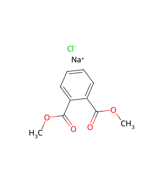 COC(=O)c1ccccc1C(=O)OC.[Cl-].[Na+]